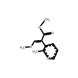 CO/C=C(/C(=O)OC)c1cccnc1C